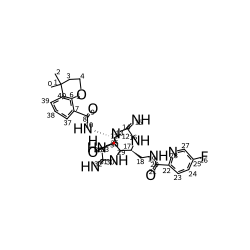 CC1(C)CCOc2c(C(=O)N[C@@H]3CN4C(=N)N[C@@H](CNC(=O)c5ccc(F)cn5)C5NC(=N)NC54[C@@H]3O)cccc21